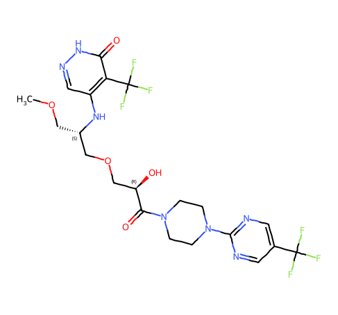 COC[C@@H](COC[C@@H](O)C(=O)N1CCN(c2ncc(C(F)(F)F)cn2)CC1)Nc1cn[nH]c(=O)c1C(F)(F)F